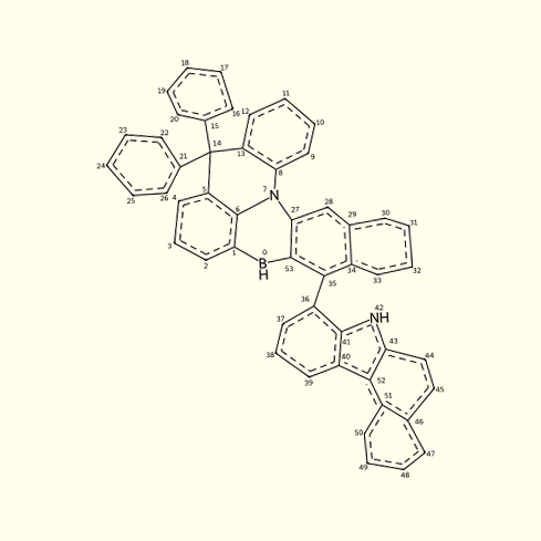 B1c2cccc3c2N(c2ccccc2C3(c2ccccc2)c2ccccc2)c2cc3ccccc3c(-c3cccc4c3[nH]c3ccc5ccccc5c34)c21